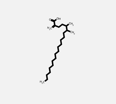 C=C(CCC(C)C(C)CCCCCCCCCCCCCCC)C(=O)O